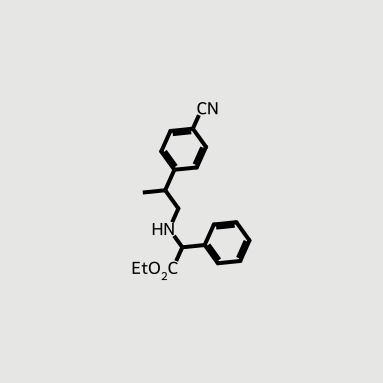 CCOC(=O)C(NCC(C)c1ccc(C#N)cc1)c1ccccc1